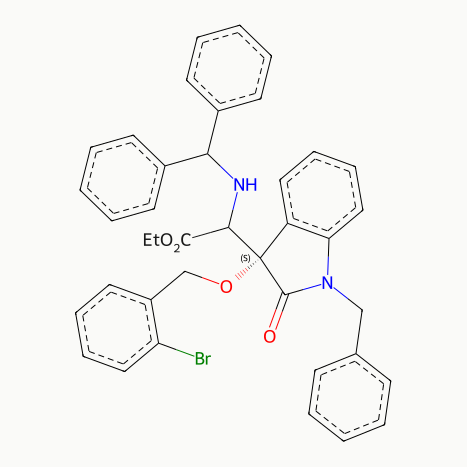 CCOC(=O)C(NC(c1ccccc1)c1ccccc1)[C@]1(OCc2ccccc2Br)C(=O)N(Cc2ccccc2)c2ccccc21